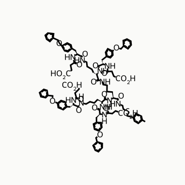 Cc1ccc(CSCCNC(=O)[C@H](CCCCNC(=O)[C@H](CCCCNC(=O)[C@H](Cc2ccc(OCc3ccccc3)cc2)NC(=O)CCC(=O)O)NC(=O)[C@H](Cc2ccc(OCc3ccccc3)cc2)NC(=O)CCC(=O)O)NC(=O)[C@H](CCCCNC(=O)[C@H](Cc2ccc(OCc3ccccc3)cc2)NC(=O)CCC(=O)O)NC(=O)[C@H](Cc2ccc(OCc3ccccc3)cc2)NC(=O)CCC(=O)O)cc1